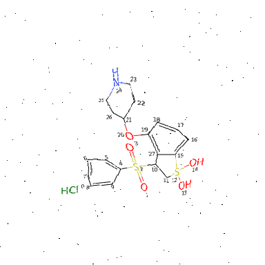 Cl.O=S(=O)(c1ccccc1)C1CS(O)(O)c2cccc(OC3CCNCC3)c21